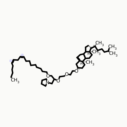 CCCCC/C=C\C/C=C\CCCCCCCCOCC(CN1CCCC1)OCCOCCO[C@H]1CC[C@@]2(C)C(=CCC3C2CC[C@@]2(C)C3CC[C@@H]2[C@H](C)CCCC(C)C)C1